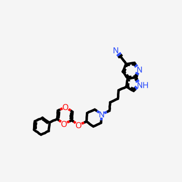 N#Cc1cnc2[nH]cc(CCCCN3CCC(OC4=COC=C(C5=CC=CCC5)O4)CC3)c2c1